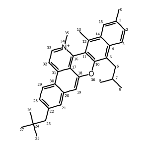 Cc1ccc2c(CC(C)C)c3c(c(C)c2c1)-c1c2c(cc4cc(CC(C)(C)C)ccc4c2cc[n+]1C)O3